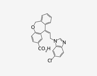 O=C(O)c1ccc2c(c1)C(=CCn1cnc3ccc(Cl)cc31)c1ccccc1CO2